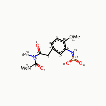 CNC(=O)N(C(=O)Cc1ccc(OC)c(N=S(=O)=O)c1)C(C)C